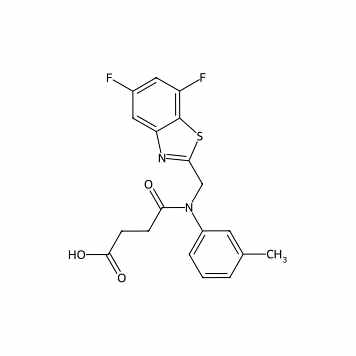 Cc1cccc(N(Cc2nc3cc(F)cc(F)c3s2)C(=O)CCC(=O)O)c1